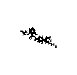 Cc1cc(-c2ccc(CN3Cc4ccnc(OCC(F)F)c4C3=O)cc2)ccn1